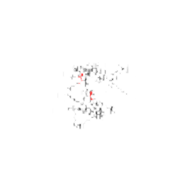 C[C@H](NC(=O)[C@H](C)NC(=O)[C@@H]1CCCN1C(=O)[C@H](CCCNC(=N)N)NC(=O)[C@@H](N)CCCCN)C(=O)N[C@H](C(=O)N[C@@H](CCCCN)C(=O)N[C@@H](CCCCN)C(=O)N[C@@H](C)C(=O)NCC(=O)N[C@@H](CCC(N)=O)C(=O)N[C@@H](C)C(=O)N[C@@H](CCCCN)C(=O)N[C@@H](CCCCN)C(=O)N[C@@H](CCCCN)C(=O)N[C@@H](CCCCN)C(=O)O)[C@@H](C)O